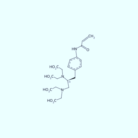 C=CC(=O)Nc1ccc(C[C@@H](CN(CC(=O)O)CC(=O)O)N(CC(=O)O)CC(=O)O)cc1